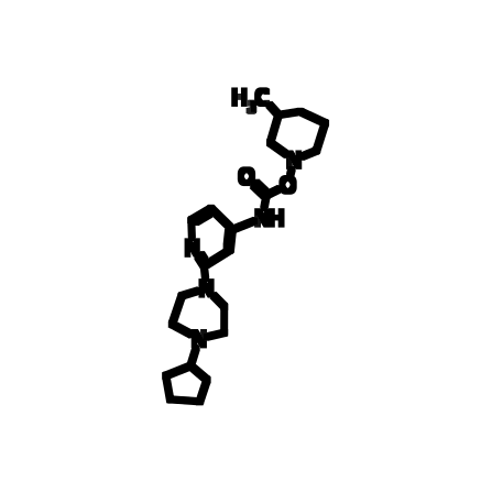 CC1CCCN(OC(=O)Nc2ccnc(N3CCN(C4CCCC4)CC3)c2)C1